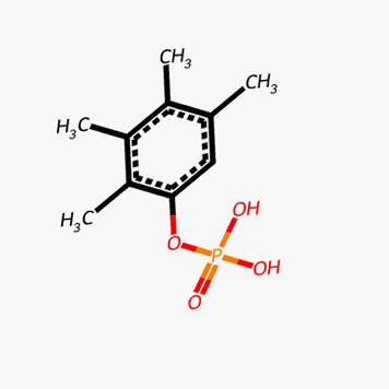 Cc1cc(OP(=O)(O)O)c(C)c(C)c1C